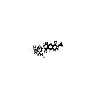 C[C@H](CN(C)S(C)(=O)=O)n1nnc2cc3c(=O)n(C4CC4)nnc3cc2c1=O